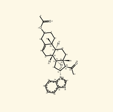 CC(=O)OC1CC[C@@]2(C)C(=CC[C@H]3[C@@H]4C[C@@H](n5cnc6ccccc65)[C@H](C(C)=O)[C@@]4(C)CC[C@@H]32)C1